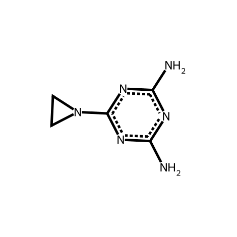 Nc1nc(N)nc(N2CC2)n1